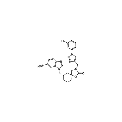 N#Cc1ccc2ncn(C[C@H]3CCC[C@]4(C3)CN(Cc3cn(-c5cccc(Cl)c5)nn3)C(=O)O4)c2c1